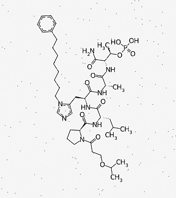 CC(C)C[C@H](NC(=O)[C@@H]1CCCN1C(=O)CCOC(C)C)C(=O)N[C@@H](Cc1cncn1CCCCCCCCc1ccccc1)C(=O)N[C@@H](C)C(=O)N[C@H](C(N)=O)[C@@H](C)OP(=O)(O)O